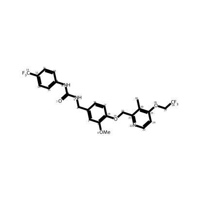 COc1cc(CNC(=O)Nc2ccc(C(F)(F)F)cc2)ccc1OCc1nccc(OCC(F)(F)F)c1C